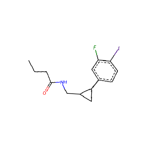 CCCC(=O)NCC1CC1c1ccc(I)c(F)c1